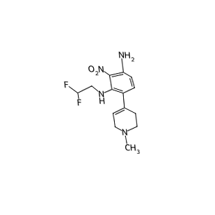 CN1CC=C(c2ccc(N)c([N+](=O)[O-])c2NCC(F)F)CC1